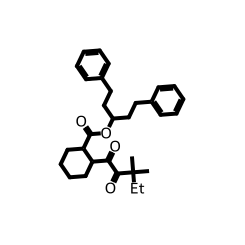 CCC(C)(C)C(=O)C(=O)C1CCCCC1C(=O)OC(CCc1ccccc1)CCc1ccccc1